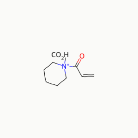 C=CC(=O)[N+]1(C(=O)O)CCCCC1